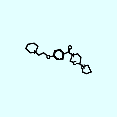 O=C(c1ccc(OCCN2CCCCC2)cc1)N1CCC(N2CCCC2)CC1